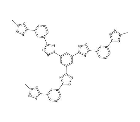 Cc1nnc(-c2cccc(-c3nc(-c4cc(-c5noc(-c6cccc(-c7nnc(C)o7)c6)n5)cc(-c5noc(-c6cccc(-c7nnc(C)o7)c6)n5)c4)no3)c2)o1